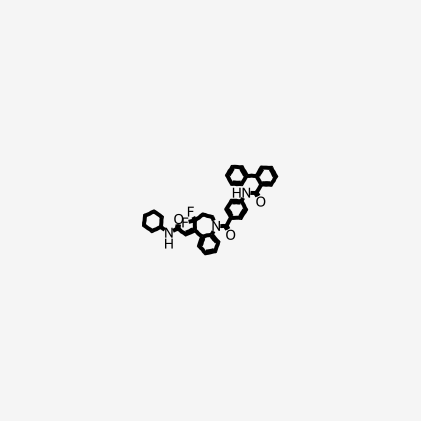 O=C(C=C1c2ccccc2N(C(=O)c2ccc(NC(=O)c3ccccc3-c3ccccc3)cc2)CCC1(F)F)NC1CCCCC1